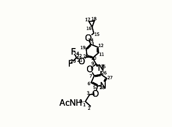 CC(=O)N[C@@H](C)COc1cc2oc(-c3ccc(OCC4CC4)cc3OC(F)F)nc2cn1